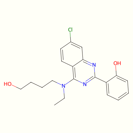 CCN(CCCCO)c1nc(-c2ccccc2O)nc2cc(Cl)ccc12